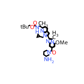 COc1cc(C(=O)N2CCC[C@@H](N)C2)cc2nc(-c3cc4ccc([C@@H](C)NC(=O)OCC(C)(C)C)nc4n3CC3CC3)c(C)n12